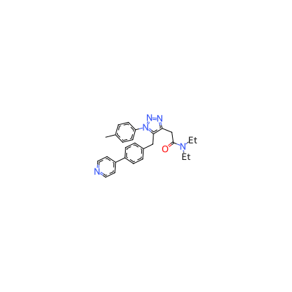 CCN(CC)C(=O)Cc1nnn(-c2ccc(C)cc2)c1Cc1ccc(-c2ccncc2)cc1